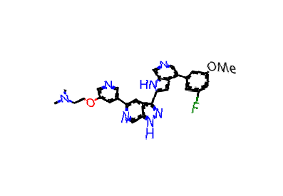 COc1cc(F)cc(-c2cncc3[nH]c(-c4n[nH]c5cnc(-c6cncc(OCCN(C)C)c6)cc45)cc23)c1